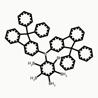 Bc1c(B)c(B)c(N(c2ccc3c(c2)C(c2ccccc2)(c2ccccc2)c2ccccc2-3)c2ccc3c(c2)C(c2ccccc2)(c2ccccc2)c2ccccc2-3)c(B)c1B